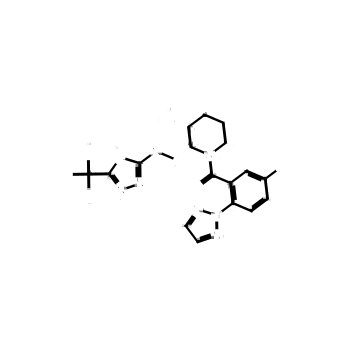 Cc1ccc(-n2nccn2)c(C(=O)N2CCC[C@@H](C)[C@H]2CNc2nnc(C(F)(F)F)s2)c1